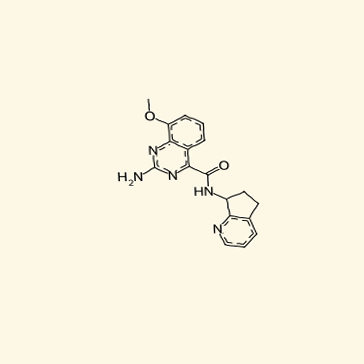 COc1cccc2c(C(=O)NC3CCc4cccnc43)nc(N)nc12